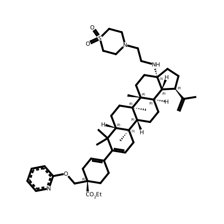 C=C(C)[C@@H]1CC[C@]2(NCCN3CCS(=O)(=O)CC3)CC[C@]3(C)[C@H](CC[C@@H]4[C@@]5(C)CC=C(C6=CC[C@](COc7ccccn7)(C(=O)OCC)CC6)C(C)(C)[C@@H]5CC[C@]43C)[C@@H]12